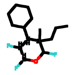 CCC[Si]1(C)C(F)O[SiH](F)[SiH](F)[SiH]1C1CCCCC1